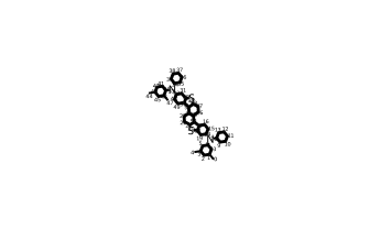 Cc1cc(C)cc(N(c2ccccc2)c2ccc3c(c2)sc2ccc4c(ccc5sc6cc(N(c7ccccc7)c7ccc(C)cc7C)ccc6c54)c23)c1